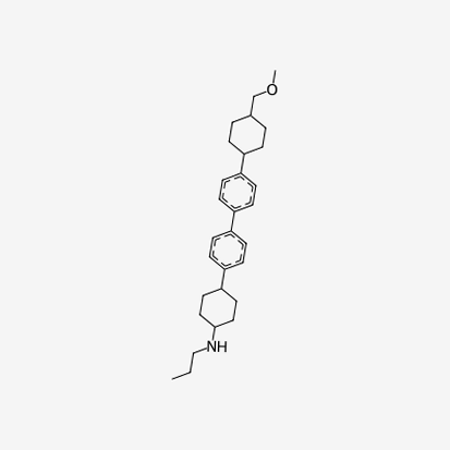 CCCNC1CCC(c2ccc(-c3ccc(C4CCC(COC)CC4)cc3)cc2)CC1